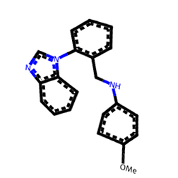 COc1ccc(NCc2ccccc2-n2cnc3ccccc32)cc1